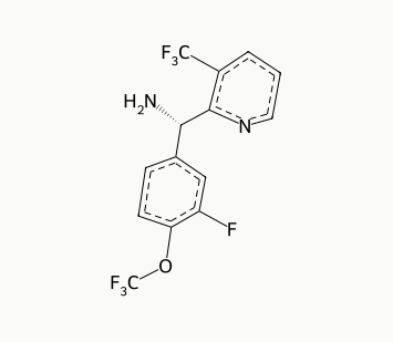 N[C@@H](c1ccc(OC(F)(F)F)c(F)c1)c1ncccc1C(F)(F)F